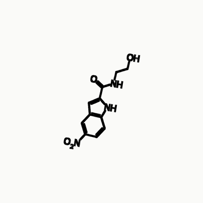 O=C(NCCO)c1cc2cc([N+](=O)[O-])ccc2[nH]1